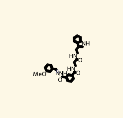 COc1cccc(/C=N/NC(=O)c2cccc(C(=O)NCCC(=O)NCCc3c[nH]c4ccccc34)c2)c1